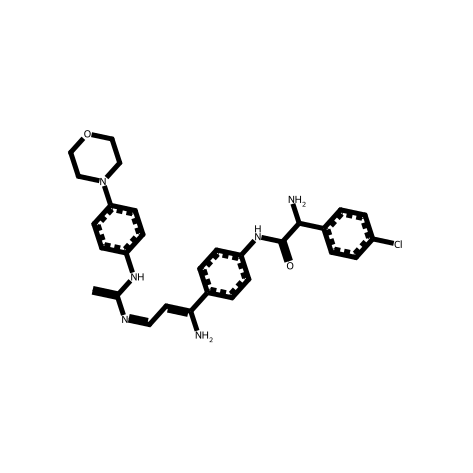 C=C(/N=C\C=C(/N)c1ccc(NC(=O)C(N)c2ccc(Cl)cc2)cc1)Nc1ccc(N2CCOCC2)cc1